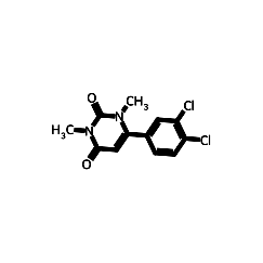 Cn1c(-c2ccc(Cl)c(Cl)c2)cc(=O)n(C)c1=O